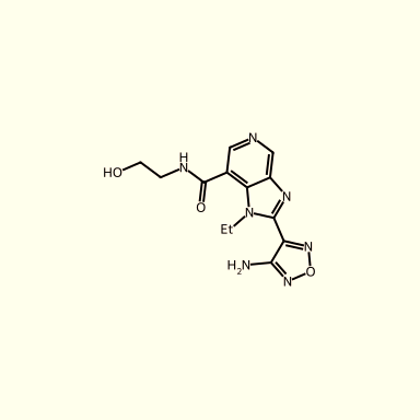 CCn1c(-c2nonc2N)nc2cncc(C(=O)NCCO)c21